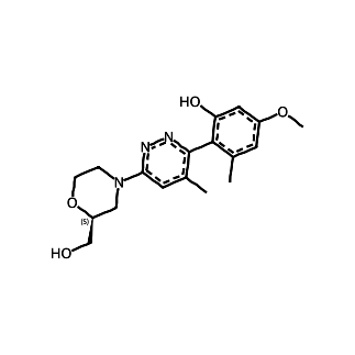 COc1cc(C)c(-c2nnc(N3CCO[C@H](CO)C3)cc2C)c(O)c1